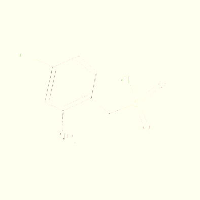 O=[N+]([O-])c1cc(Cl)ccc1CS(=O)(=O)Cl